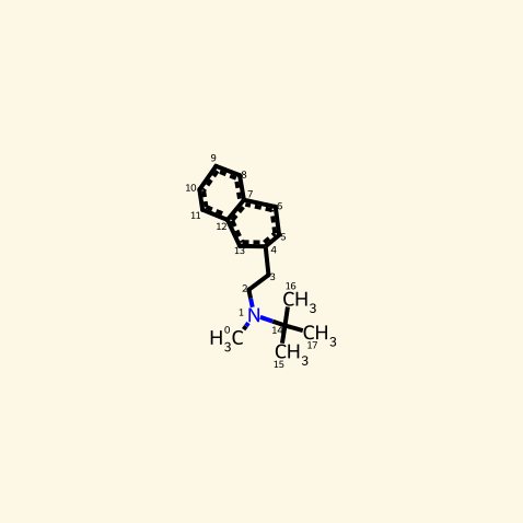 CN(CCc1ccc2ccccc2c1)C(C)(C)C